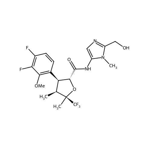 COc1c([C@H]2[C@H](C(=O)Nc3cnc(CO)n3C)O[C@@](C)(C(F)(F)F)[C@H]2C)ccc(F)c1F